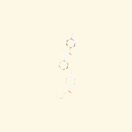 Cc1ncc(C(=O)Nc2cc(F)cc(CN3CCN(C(=O)C4CCCO4)C(C)C3)c2C)cc1Cl